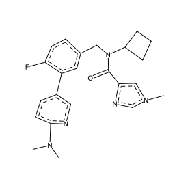 CN(C)c1ccc(-c2cc(CN(C(=O)c3cn(C)cn3)C3CCC3)ccc2F)cn1